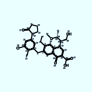 CCc1cc2c(cc1Cc1cc(N3CCCC3=O)cc(Cl)c1F)c(=O)c(C(=O)O)cn2[C@H](CO)[C@@H](C)OC